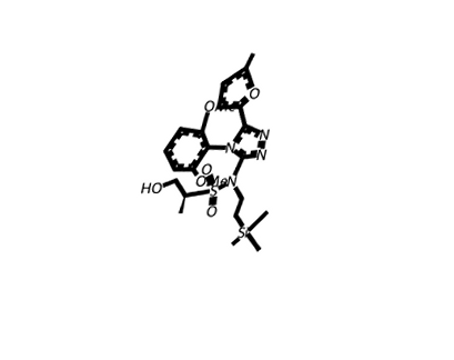 COc1cccc(OC)c1-n1c(-c2ccc(C)o2)nnc1N(CC[Si](C)(C)C)S(=O)(=O)[C@@H](C)CO